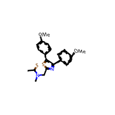 COc1ccc(-c2nc(CN(C)C(C)=S)sc2-c2ccc(OC)cc2)cc1